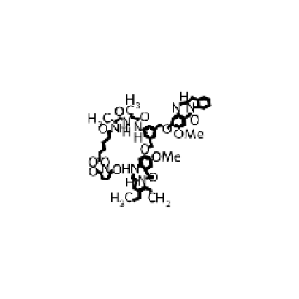 C=CC1=C(/C=C\C)C[C@H]2CNc3cc(OCc4cc(COc5cc6c(cc5OC)C(=O)N5c7ccccc7C[C@H]5C=N6)cc(NC(=O)[C@H](C)NC(=O)[C@H](C)NC(=O)CCCCC(=O)ON5C(=O)CCC5=O)c4)c(OC)cc3C(=O)N12